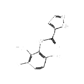 Cc1ccc(Br)c(C)c1NC(=O)c1ccn[nH]1